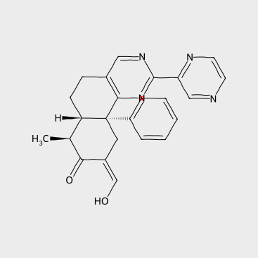 C[C@@H]1C(=O)/C(=C\O)C[C@]2(c3ccccc3)c3nc(-c4cnccn4)ncc3CC[C@@H]12